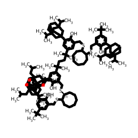 CC(C)CC12CC3CC(CC(C)C)(C1)CC(c1cc(C(C)(C)C)cc(CSC4CCCCCC[C@@H]4SCc4cc(C(C)(C)CCC(C)(C)c5cc(CSC6CCCCCCC6SCc6cc(C(C)(C)C)cc(C78CC9CC(C(C)C)(C7)CC(C(C)C)(C9)C8)c6O)c(O)c(C67CC8CC(C(C)C)(C6)CC(C(C)C)(C8)C7)c5)cc(C56CC7CC(CC(C)C)(CC(CC(C)C)(C7)C5)C6)c4O)c1O)(C3)C2